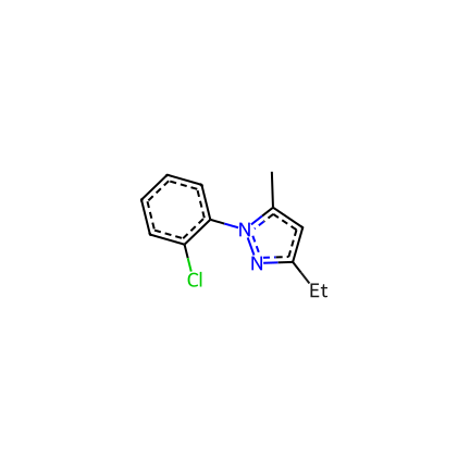 CCc1cc(C)n(-c2ccccc2Cl)n1